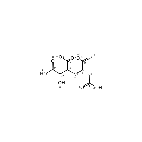 O=C(O)C[C@H](NC(C(=O)O)C(O)C(=O)O)C(=O)O